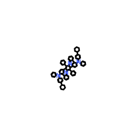 c1ccc(-c2c3c4ccc(N(c5ccccc5)c5ccc(C6CCCCC6)cc5)c5c6ccccc6n(c3c(-c3ccccc3)c3c6ccc(N(c7ccccc7)c7ccc(C8CCCCC8)cc7)c7c8ccccc8n(c23)c67)c45)cc1